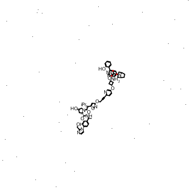 CC(C)[C@@H](C(=O)N1C[C@H](O)C[C@H]1C(=O)N[C@@H](C)c1ccc(-n2ccnc2CO)cc1)c1cc(OCC#Cc2ccc(O[C@H]3C[C@H](Oc4cc(N5C6CCC5CN(c5cc(-c7ccccc7O)nnc5N)C6)ccn4)C3)cn2)no1